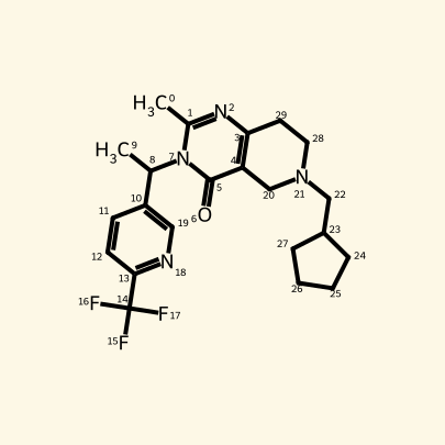 Cc1nc2c(c(=O)n1C(C)c1ccc(C(F)(F)F)nc1)CN(CC1CCCC1)CC2